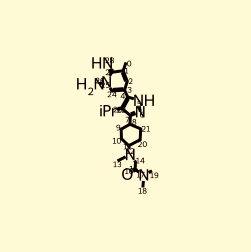 Cc1cc(-c2[nH]nc(C3CCC(N(C)CC(=O)N(C)C)CC3)c2C(C)C)cn(N)c1=N